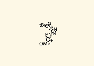 COc1ccc(Cl)c(CNc2ncnc3c2CN(C(=O)OC(C)(C)C)C3)c1F